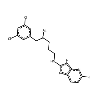 CC(=O)N(CCCNc1nc2ccc(F)nc2[nH]1)Cc1cc(Cl)cc(Cl)c1